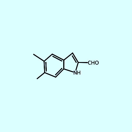 Cc1cc2cc(C=O)[nH]c2cc1C